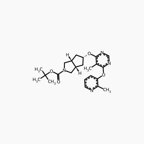 Cc1ncccc1Oc1ncnc(O[C@@H]2C[C@@H]3CN(C(=O)OC(C)(C)C)C[C@@H]3C2)c1C